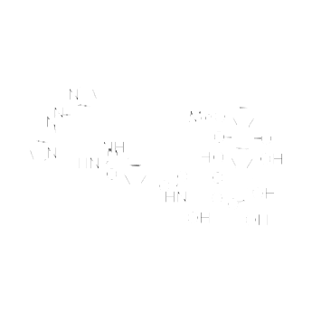 COc1cccc2c1C(=O)c1c(O)c3c(c(O)c1C2=O)C[C@@](O)(C(=O)CO)C[C@@H]3OC1CC(NC(=O)OCc2ccc(OC(=O)NC3CCC4C(c5ccccn5)=NN=C(c5ccccn5)C4CCC3N)cc2)C(O)C(C)O1